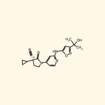 CC(C)(O)c1cc(Nc2cc(N3CC[C@@](C#N)(C4CC4)C3=O)ccn2)on1